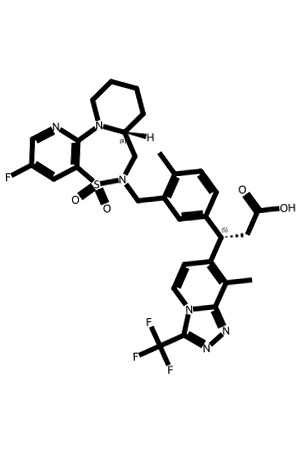 Cc1ccc([C@H](CC(=O)O)c2ccn3c(C(F)(F)F)nnc3c2C)cc1CN1C[C@H]2CCCCN2c2ncc(F)cc2S1(=O)=O